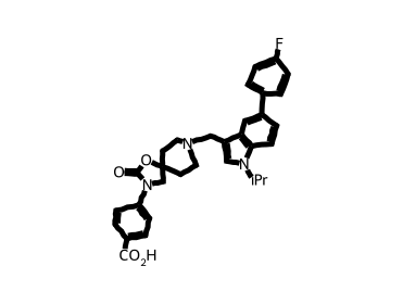 CC(C)n1cc(CN2CCC3(CC2)CN(c2ccc(C(=O)O)cc2)C(=O)O3)c2cc(-c3ccc(F)cc3)ccc21